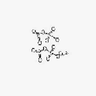 O=P(=O)OS(=O)(=O)[O-].O=P(=O)OS(=O)(=O)[O-].[Cu+2]